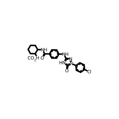 O=C(NC1CCCCC1C(=O)O)c1ccc(Nc2nn(-c3ccc(Cl)cc3)c(=O)[nH]2)cc1